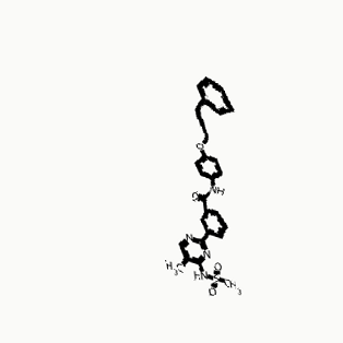 Cc1cnc(-c2cccc(C(=O)Nc3ccc(OCCc4ccccc4)cc3)c2)nc1NS(C)(=O)=O